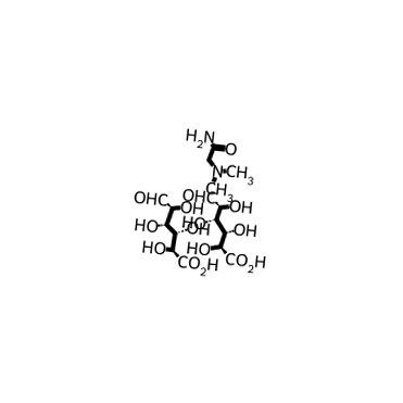 CN(C)CC(N)=O.O=C[C@H](O)[C@@H](O)[C@H](O)[C@H](O)C(=O)O.O=C[C@H](O)[C@@H](O)[C@H](O)[C@H](O)C(=O)O